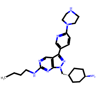 CCCCNc1ncc2c(-c3ccc(N4CCNCC4)nc3)nn(C[C@H]3CC[C@H](N)CC3)c2n1